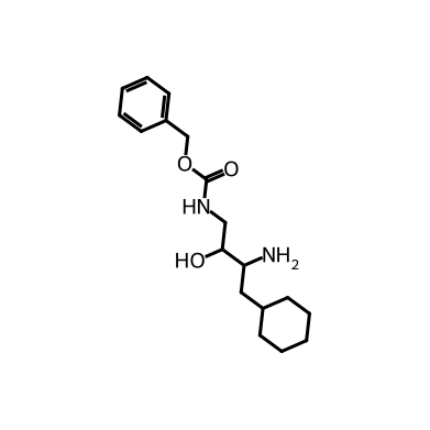 NC(CC1CCCCC1)C(O)CNC(=O)OCc1ccccc1